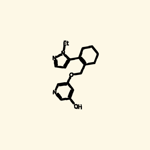 CCn1nccc1C1=C(COc2cncc(O)c2)CCCC1